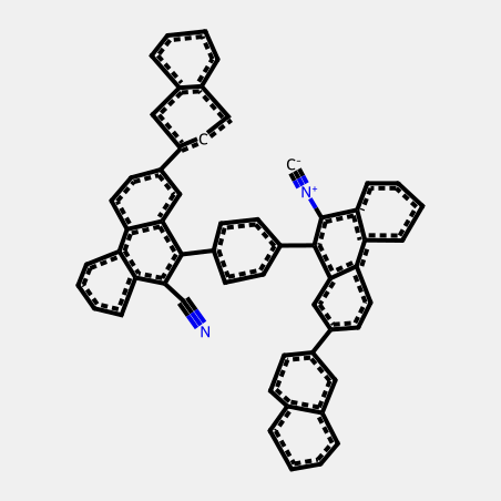 [C-]#[N+]c1c(-c2ccc(-c3c(C#N)c4ccccc4c4ccc(-c5ccc6ccccc6c5)cc34)cc2)c2cc(-c3ccc4ccccc4c3)ccc2c2ccccc12